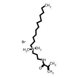 C=C(C)C(=O)NCCC[N+](C)(C)CCCCCCCCCCCC.[Br-]